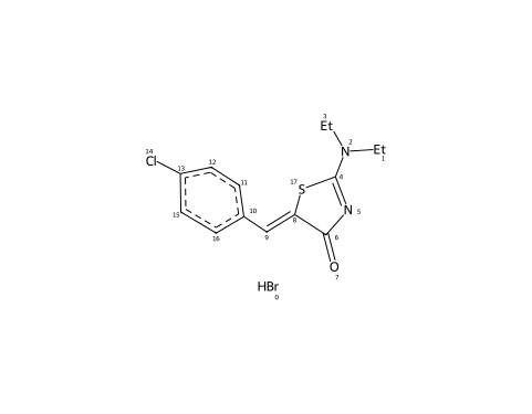 Br.CCN(CC)C1=NC(=O)/C(=C/c2ccc(Cl)cc2)S1